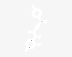 Cc1ccc(C(=O)C#C/C(F)=C(\F)c2ccc(C)cc2F)cc1